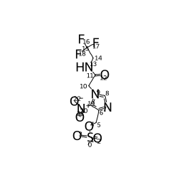 CS(=O)(=O)OCc1ncn(CC(=O)NCC(F)(F)F)c1[N+](=O)[O-]